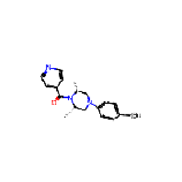 C[C@@H]1CN(c2ccc(C(C)(C)C)cc2)C[C@H](C)N1C(=O)c1ccncc1